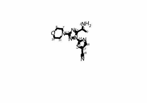 CC(N)c1nc(N2CCOCC2)nn1-c1ncc(C#N)s1